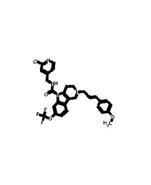 COc1ccc(C=CCN2CCc3c(c4ccc(OC(F)(F)F)cc4n3C(=O)NCc3ccnc(Cl)c3)C2)cc1